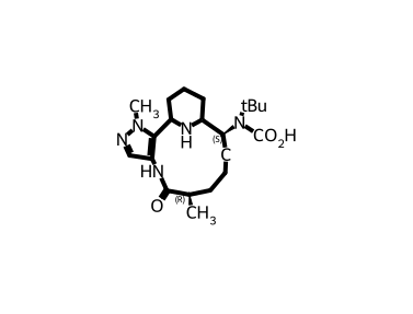 C[C@@H]1CCC[C@H](N(C(=O)O)C(C)(C)C)C2CCCC(N2)c2c(cnn2C)NC1=O